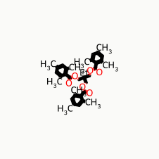 CCC(COC(=O)c1c(C)cc(C)cc1C)(COC(=O)c1c(C)cc(C)cc1C)COC(=O)c1c(C)cc(C)cc1C